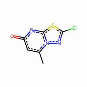 Cc1cc(=O)nc2sc(Cl)nn12